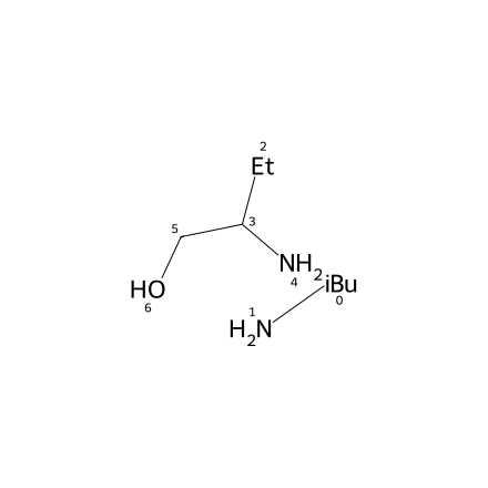 CCC(C)N.CCC(N)CO